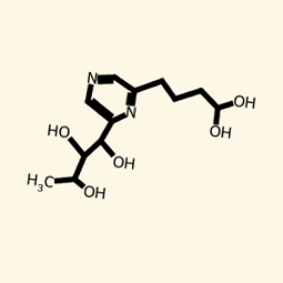 CC(O)C(O)C(O)c1cncc(CCCC(O)O)n1